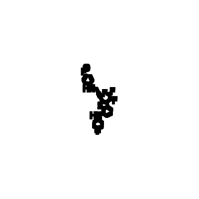 CN1CCC(Nc2cccc3c(C(F)C(F)F)c(C#CCNc4ccc(P=O)cc4)sc23)CC1